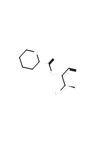 C[C@@H](O)[C@@H](C=O)NC(=O)[C@@H]1CCCCN1